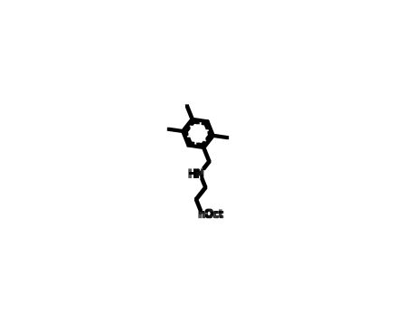 CCCCCCCCCCNCc1cc(C)c(C)cc1C